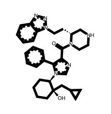 O=C(c1ncn([C@@H]2CCCC[C@@]2(O)CC2CC2)c1-c1ccccc1)N1CCNC[C@H]1CCn1nnc2ccccc21